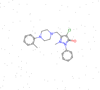 Cc1ccccc1N1CCN(Cc2c(Cl)c(=O)n(-c3ccccc3)n2C)CC1